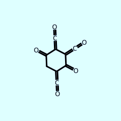 O=C=C1CC(=O)C(=C=O)C(=C=O)C1=O